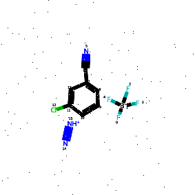 F[B-](F)(F)F.N#Cc1cccc(Cl)c1.N#[NH+]